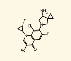 CC(=O)c1cn(C2C[C@@H]2F)c2c(Cl)c(N3C[C@@H](N)C4(CC4)C3)c(F)cc2c1=O